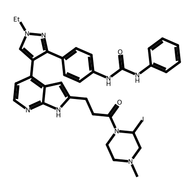 CCn1cc(-c2ccnc3[nH]c(CCC(=O)N4CCN(C)CC4I)cc23)c(-c2ccc(NC(=O)Nc3ccccc3)cc2)n1